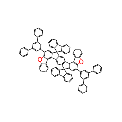 c1ccc(-c2cc(-c3ccccc3)cc(-c3cc4c(c5c3oc3ccccc35)-c3cc5c(cc3C43c4ccccc4-c4ccccc43)-c3c(cc(-c4cc(-c6ccccc6)cc(-c6ccccc6)c4)c4oc6ccccc6c34)C53c4ccccc4-c4ccccc43)c2)cc1